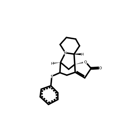 O=C1C=C2CC(Sc3ccccc3)[C@@H]3C[C@@]2(O1)[C@H]1CCCCN31